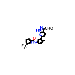 Cc1ccc(NC(=O)c2cccc(C(F)(F)F)c2)cc1-c1ccc2c(C=O)n[nH]c2n1